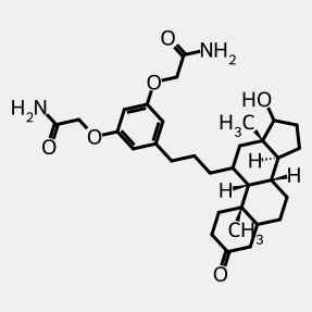 C[C@]12CCC(=O)CC1CC[C@@H]1[C@H]2C(CCCc2cc(OCC(N)=O)cc(OCC(N)=O)c2)C[C@]2(C)C(O)CC[C@@H]12